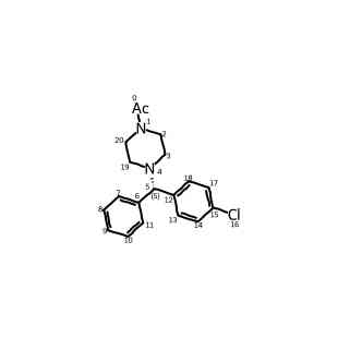 CC(=O)N1CCN([C@@H](c2ccccc2)c2ccc(Cl)cc2)CC1